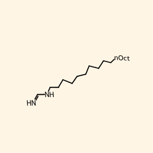 CCCCCCCCCCCCCCCCCCNC=N